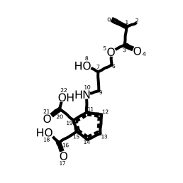 C=C(C)C(=O)OCC(O)CNc1cccc(C(=O)O)c1C(=O)O